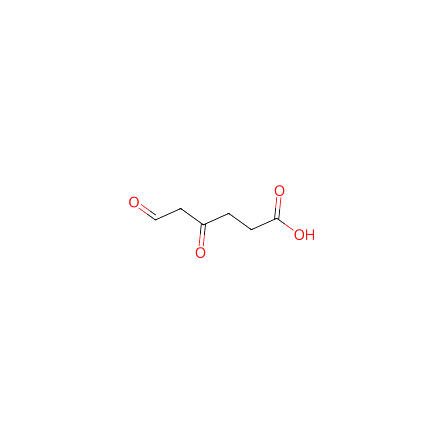 O=CCC(=O)CCC(=O)O